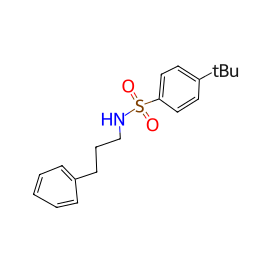 CC(C)(C)c1ccc(S(=O)(=O)NCCCc2ccccc2)cc1